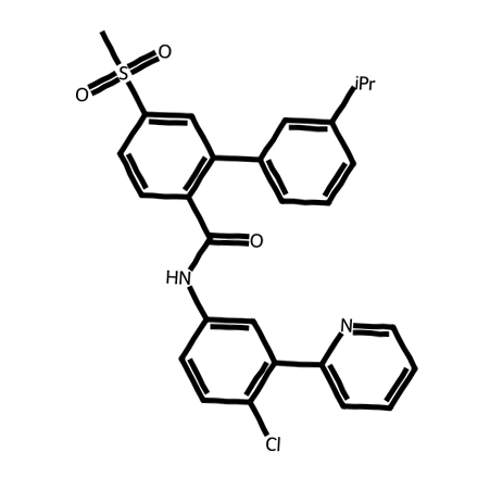 CC(C)c1cccc(-c2cc(S(C)(=O)=O)ccc2C(=O)Nc2ccc(Cl)c(-c3ccccn3)c2)c1